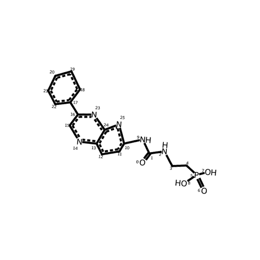 O=C(NCCP(=O)(O)O)Nc1ccc2ncc(-c3ccccc3)nc2n1